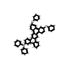 c1ccc(Oc2ccc3c(c2)c2cc(Oc4ccccc4)ccc2c2cc4c5ccc(N(c6ccccc6)c6ccccc6)cc5c5ccccc5c4cc32)cc1